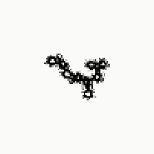 c1ccc(-c2nc(-c3cccc(-n4c5ccccc5c5ccccc54)c3)nc(-c3ccc4c(c3)oc3ccc(-c5ccc6sc7ccccc7c6c5)cc34)n2)cc1